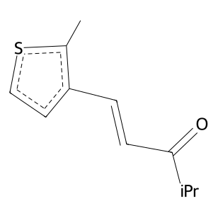 Cc1sccc1C=CC(=O)C(C)C